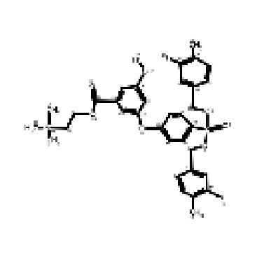 Cc1ccc(COP(=O)(OCc2ccc(C)c(F)c2)c2ccc(Oc3cc(OC(C)C)cc(C(=O)OCC[Si](C)(C)C)c3)cc2)cc1F